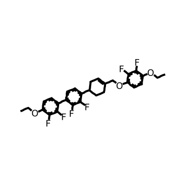 CCOc1ccc(OCC2=CCC(c3ccc(-c4ccc(OCC)c(F)c4F)c(F)c3F)CC2)c(F)c1F